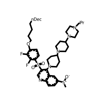 CCCCCCCCCCCCCCOc1ccc(S(=O)(=O)c2cnc3ccc([S+](C)[O-])cc3c2N2CCC(N3CCC(N4CCN(C(C)C)CC4)CC3)CC2)c(F)c1F